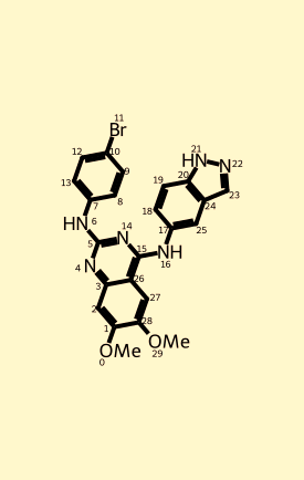 COc1cc2nc(Nc3ccc(Br)cc3)nc(Nc3ccc4[nH]ncc4c3)c2cc1OC